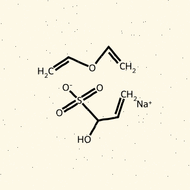 C=CC(O)S(=O)(=O)[O-].C=COC=C.[Na+]